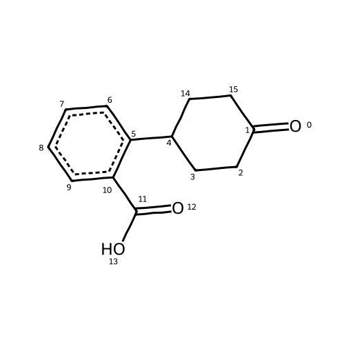 O=C1CCC(c2ccccc2C(=O)O)CC1